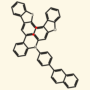 c1ccc(N(c2ccc(-c3ccc4ccccc4c3)cc2)c2ccc3c(c2)oc2ccccc23)c(-c2ccc3sc4ccccc4c3c2)c1